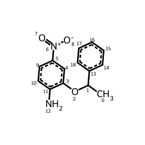 CC(Oc1cc([N+](=O)[O-])ccc1N)c1ccccc1